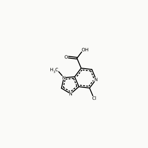 Cn1cnc2c(Cl)ncc(C(=O)O)c21